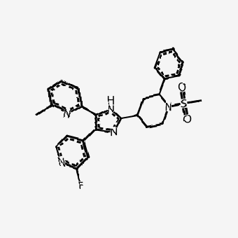 Cc1cccc(-c2[nH]c(C3CCN(S(C)(=O)=O)C(c4ccccc4)C3)nc2-c2ccnc(F)c2)n1